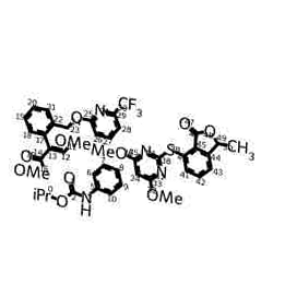 CC(C)OC(=O)Nc1ccccc1.CO/C=C(/C(=O)OC)c1ccccc1COc1cccc(C(F)(F)F)n1.COc1cc(OC)nc(Sc2cccc3c2C(=O)OC3C)n1